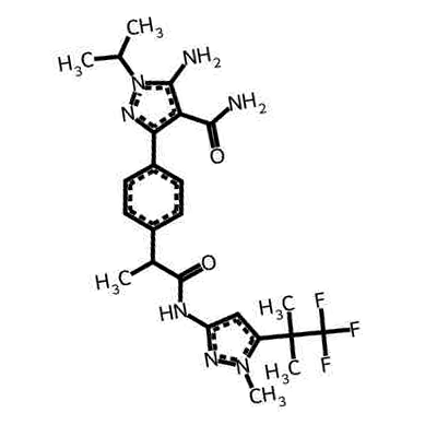 CC(C(=O)Nc1cc(C(C)(C)C(F)(F)F)n(C)n1)c1ccc(-c2nn(C(C)C)c(N)c2C(N)=O)cc1